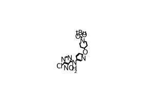 CC(C)(C)OC(=O)N1CCC(Oc2ccc(Nc3ncnc(Cl)c3[N+](=O)[O-])cn2)CC1